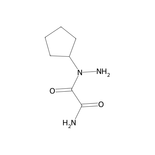 NC(=O)C(=O)N(N)C1CCCC1